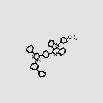 CC1C=CC(n2c3ccccc3c3c(-c4ccc(-c5cc(-c6ccccc6)nc(-c6cccc(-c7ccccc7)c6)n5)cc4)nc4ccccc4c32)=CC1